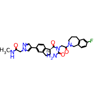 CNC(=O)Cn1cc(-c2ccc3c(c2)CC[C@@H]3C(=O)N(CC(=O)N2CCCc3cc(F)ccc3C2)C(N)=O)cn1